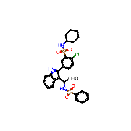 O=CC(NS(=O)(=O)c1ccccc1)c1c(-c2ccc(Cl)c(S(=O)(=O)NC3CCCCC3)c2)[nH]c2ccccc12